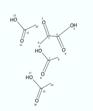 CC(=O)C(=O)O.CC(=O)O.CC(=O)O.CC(=O)O